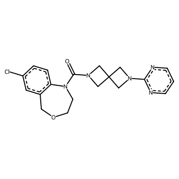 O=C(N1CC2(C1)CN(c1ncccn1)C2)N1CCOCc2cc(Cl)ccc21